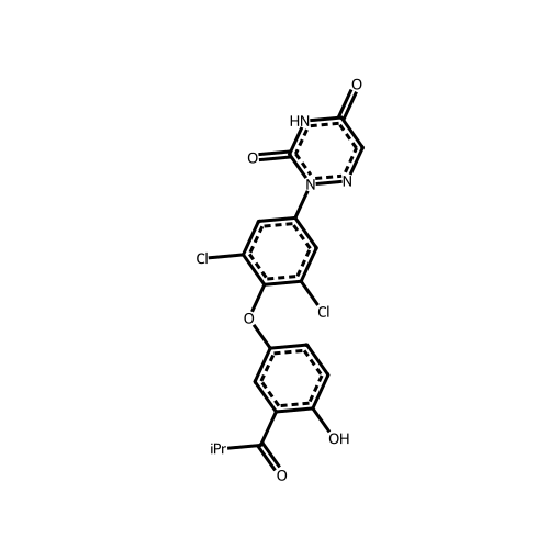 CC(C)C(=O)c1cc(Oc2c(Cl)cc(-n3ncc(=O)[nH]c3=O)cc2Cl)ccc1O